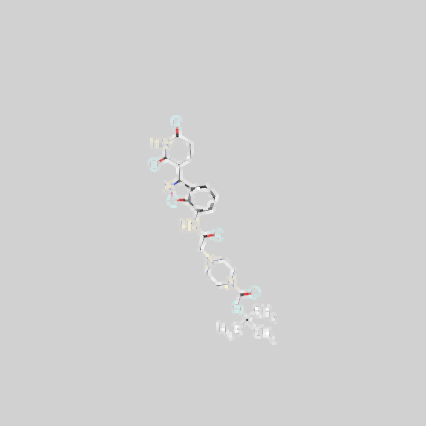 CC(C)(C)OC(=O)N1CCN(CC(=O)Nc2cccc3c(C4CCC(=O)NC4=O)noc23)CC1